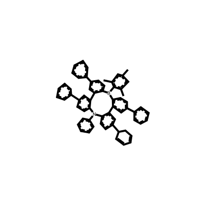 Cc1cc(C)c(B2c3ccc(-c4ccccc4)cc3-c3cc(-c4ccccc4)ccc3N(c3ccccc3)c3ccc(C4C=CC=CC4)cc3-c3cc(-c4ccccc4)ccc32)c(C)c1